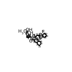 CC(C)(O)Cn1ccc(NC(=O)C(CC2CCCCC2)n2ncc(Oc3c(F)cccc3F)cc2=O)n1